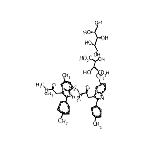 Cc1ccc(-c2nc3ccc(C)cn3c2CC(=O)N(C)C)cc1.Cc1ccc(-c2nc3ccc(C)cn3c2CC(=O)N(C)C)cc1.O=C(O)C(O)C(O)C(=O)O.OC[C@@H](O)[C@H](O)[C@@H](O)CO